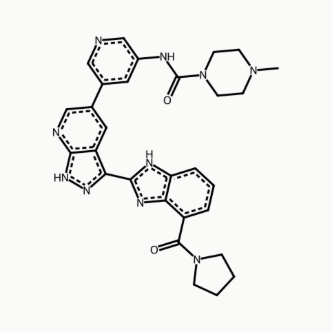 CN1CCN(C(=O)Nc2cncc(-c3cnc4[nH]nc(-c5nc6c(C(=O)N7CCCC7)cccc6[nH]5)c4c3)c2)CC1